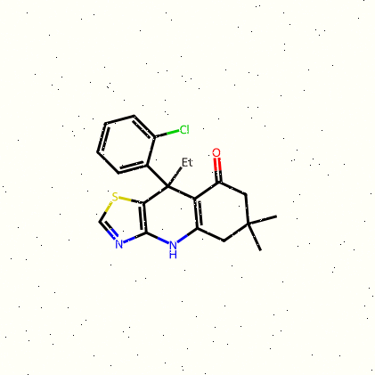 CCC1(c2ccccc2Cl)C2=C(CC(C)(C)CC2=O)Nc2ncsc21